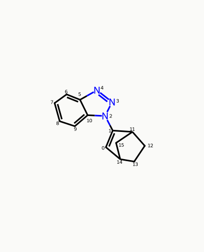 C1=C(n2nnc3ccccc32)C2CCC1C2